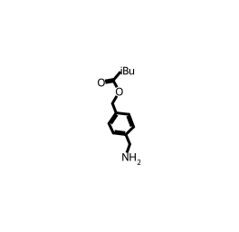 CCC(C)C(=O)OCc1ccc(CN)cc1